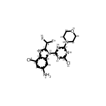 Nc1cc(Cl)c2nc(C(F)F)n(-c3nc(Cl)nc(N4CCOCC4)n3)c2c1